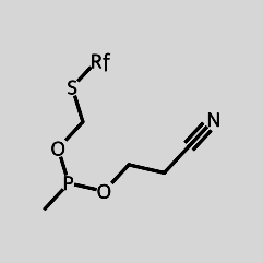 CP(OCCC#N)OC[S][Rf]